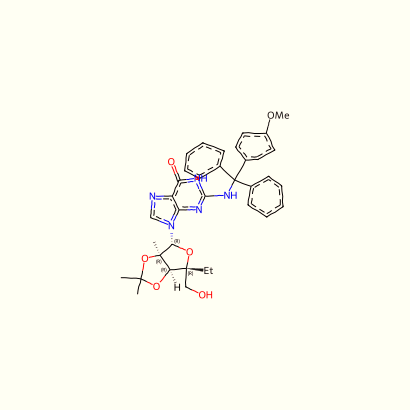 CC[C@]1(CO)O[C@@H](n2cnc3c(=O)[nH]c(NC(c4ccccc4)(c4ccccc4)c4ccc(OC)cc4)nc32)[C@]2(C)OC(C)(C)O[C@H]12